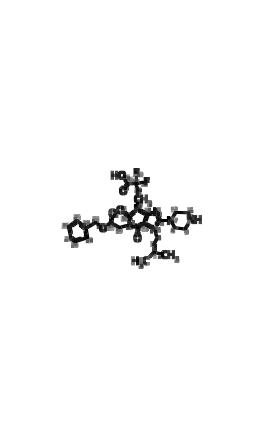 CC(C)=CCn1c(N2CCNCC2)nc2c1c(=O)n(CC(=O)OCc1ccccc1)c(=O)n2C.O=C(O)C(F)(F)F